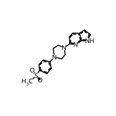 CS(=O)(=O)c1ccc(N2CCN(c3ccc4cc[nH]c4n3)CC2)cc1